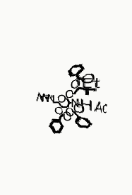 CCC(C)(C)C(COC1OC(CN=[N+]=[N-])C(OC(=O)c2ccccc2)C(OC(=O)c2ccccc2)C1NC(C)=O)OC(=O)c1ccccc1